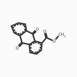 COC(=O)c1cccc2c1C(=O)c1ccccc1C2=O